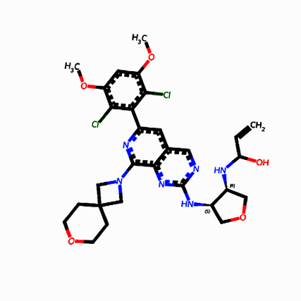 C=CC(O)N[C@H]1COC[C@H]1Nc1ncc2cc(-c3c(Cl)c(OC)cc(OC)c3Cl)nc(N3CC4(CCOCC4)C3)c2n1